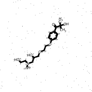 CCCN(CCO)CC(O)COCCOc1ccc(C(=O)C(C)(C)O)cc1